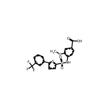 COc1cc(C(=O)O)ccc1NS(=O)(=O)c1ccc(-c2cccc(C(F)(F)F)c2)s1